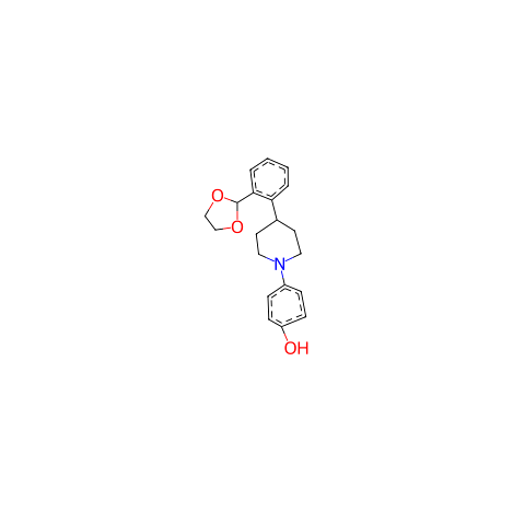 Oc1ccc(N2CCC(c3ccccc3C3OCCO3)CC2)cc1